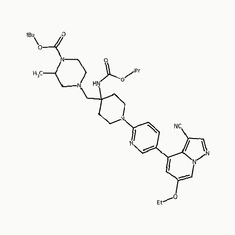 CCOc1cc(-c2ccc(N3CCC(CN4CCN(C(=O)OC(C)(C)C)C(C)C4)(NC(=O)OC(C)C)CC3)nc2)c2c(C#N)cnn2c1